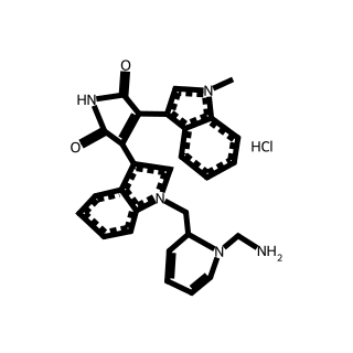 Cl.Cn1cc(C2=C(c3cn(CC4C=CC=CN4CN)c4ccccc34)C(=O)NC2=O)c2ccccc21